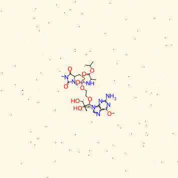 COc1nc(N)nc2c1ncn2[C@H](OCCOP(=O)(NC(C)C(=O)OC(C)C)SCC1C(=O)N(C)C(=O)N1C)[C@](C)(O)CO